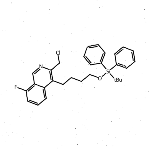 CC(C)(C)[Si](OCCCCc1c(CCl)ncc2c(F)cccc12)(c1ccccc1)c1ccccc1